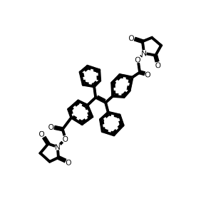 O=C(ON1C(=O)CCC1=O)c1ccc(/C(=C(\c2ccccc2)c2ccc(C(=O)ON3C(=O)CCC3=O)cc2)c2ccccc2)cc1